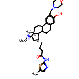 CO/N=C1\C[C@@H](CCCC(=O)Nc2ncc(C)s2)C2C3CCc4cc(O)c(CN5CCOCC5)cc4C3CC[C@]12C